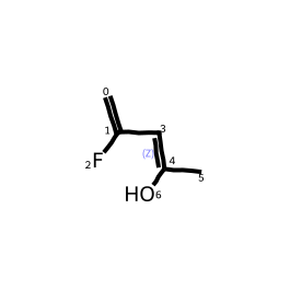 C=C(F)/C=C(/C)O